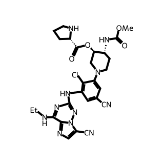 CCNc1nc(Nc2cc(C#N)cc(N3CC[C@@H](NC(=O)OC)[C@H](OC(=O)[C@@H]4CCCN4)C3)c2Cl)nn2c(C#N)cnc12